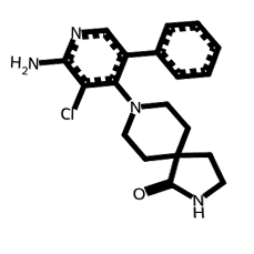 Nc1ncc(-c2ccccc2)c(N2CCC3(CCNC3=O)CC2)c1Cl